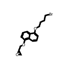 BrCCCCOc1cccc2c(OCC3CO3)cccc12